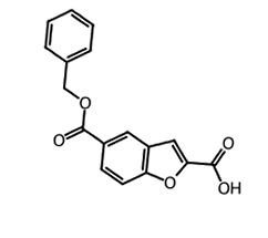 O=C(OCc1ccccc1)c1ccc2oc(C(=O)O)cc2c1